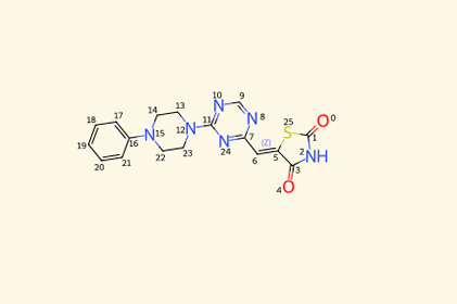 O=C1NC(=O)/C(=C/c2ncnc(N3CCN(c4ccccc4)CC3)n2)S1